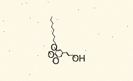 CCCCCCCCCOc1cc(C=CCO)cc(OC)c1OC